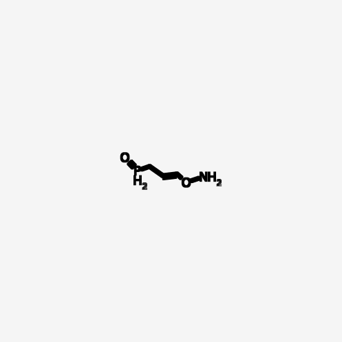 NOC=CC[PH2]=O